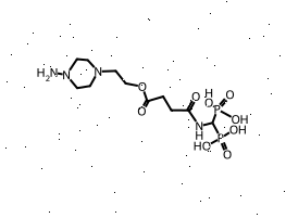 NN1CCN(CCOC(=O)CCC(=O)NC(P(=O)(O)O)P(=O)(O)O)CC1